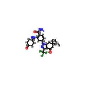 CC1(C)CC(=O)c2c(C(F)(F)F)nn(-c3ccc(C(N)=O)c(NC4CCC(=O)CC4)c3)c2C1